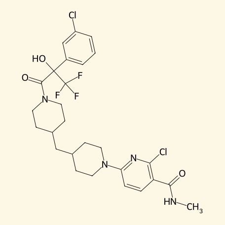 CNC(=O)c1ccc(N2CCC(CC3CCN(C(=O)C(O)(c4cccc(Cl)c4)C(F)(F)F)CC3)CC2)nc1Cl